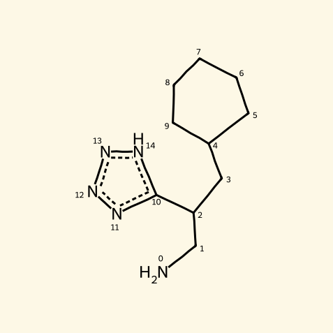 NCC(CC1CCCCC1)c1nnn[nH]1